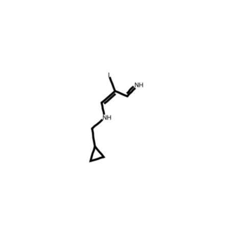 N=C/C(I)=C\NCC1CC1